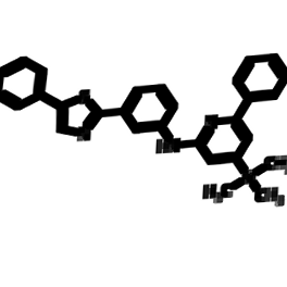 C[Si](C)(C)c1cc(Nc2cccc(-c3ncc(-c4ccccc4)s3)c2)nc(-c2ccccc2)c1